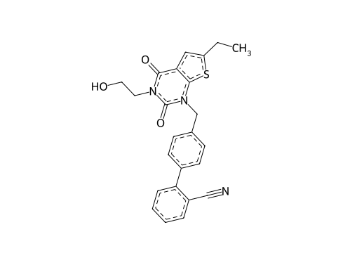 CCc1cc2c(=O)n(CCO)c(=O)n(Cc3ccc(-c4ccccc4C#N)cc3)c2s1